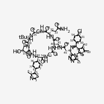 Cc1ncsc1-c1ccc([C@H]2NC(=O)[C@@H]3C[C@@H](O)CN3C(=O)[C@H](C(C)(C)C)NC(=O)CNC(=O)[C@H](CCC(N)=O)NC(=O)[C@@H](CNC(=O)C[C@@H]3N=C(c4ccc(Cl)cc4)c4c(sc(C)c4C)-n4c(C)nnc43)NC(=O)CNC2=O)cc1